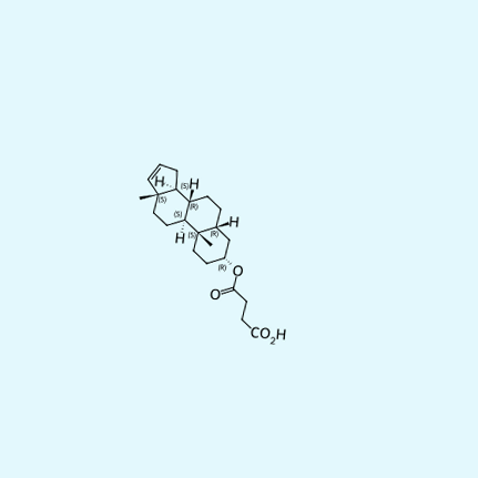 C[C@]12CC[C@@H](OC(=O)CCC(=O)O)C[C@H]1CC[C@@H]1[C@@H]2CC[C@]2(C)C=CC[C@@H]12